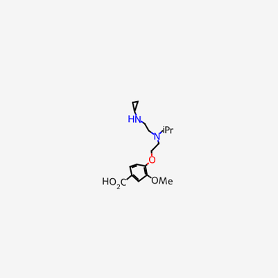 COc1cc(C(=O)O)ccc1OCCN(CCNC1CC1)C(C)C